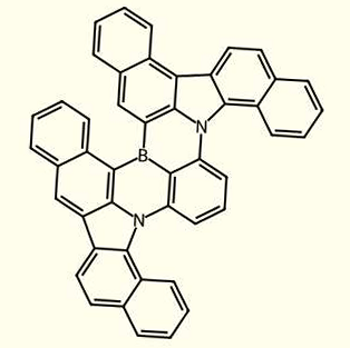 c1cc2c3c(c1)-n1c4c(cc5ccccc5c4c4ccc5ccccc5c41)B3c1c3ccccc3cc3c4ccc5ccccc5c4n-2c13